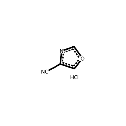 Cl.N#Cc1cocn1